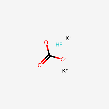 F.O=C([O-])[O-].[K+].[K+]